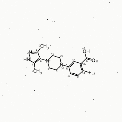 Cc1n[nH]c(C)c1N1CCN(c2ccc(F)c(C(=O)O)c2)CC1